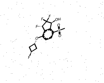 CS(=O)(=O)c1ccc(O[C@H]2C[C@H](F)C2)c2c1[C@H](O)C(F)(F)[C@H]2F